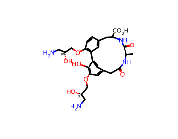 CC1NC(=O)Cc2cc(OC[C@H](O)CN)c(O)c(c2)-c2cc(ccc2OC[C@H](O)CN)CC(C(=O)O)NC1=O